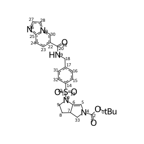 CC(C)(C)OC(=O)N1C=C2C(CCN2S(=O)(=O)c2ccc(CNC(=O)c3ccc4nccn4c3)cc2)C1